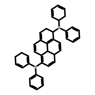 C1=CCC(N(c2ccccc2)C2CC=C3C=CC4=C(N(C5=CCCC=C5)c5ccccc5)C=CC5C=CC2=C3C45)C=C1